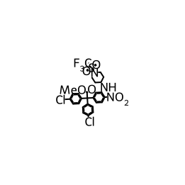 COC(=O)C(c1ccc(Cl)cc1)(c1ccc(Cl)cc1)c1ccc([N+](=O)[O-])c(NC2CCN(S(=O)(=O)C(F)(F)F)CC2)c1